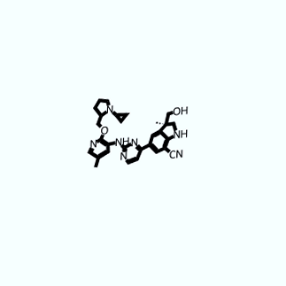 Cc1cnc(OCC2CCCN2C2CC2)c(Nc2nccc(-c3cc(C#N)c4c(c3)[C@@](C)(CO)CN4)n2)c1